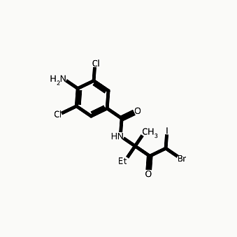 CCC(C)(NC(=O)c1cc(Cl)c(N)c(Cl)c1)C(=O)C(Br)I